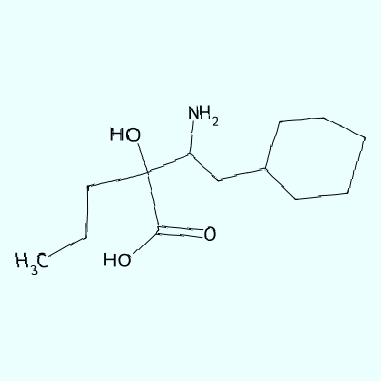 CCCC(O)(C(=O)O)C(N)CC1CCCCC1